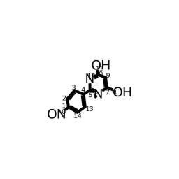 O=Nc1ccc(-c2nc(O)cc(O)n2)cc1